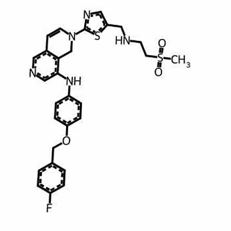 CS(=O)(=O)CCNCc1cnc(N2C=Cc3cncc(Nc4ccc(OCc5ccc(F)cc5)cc4)c3C2)s1